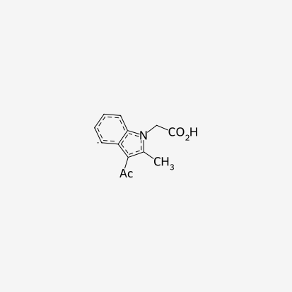 CC(=O)c1c(C)n(CC(=O)O)c2ccc[c]c12